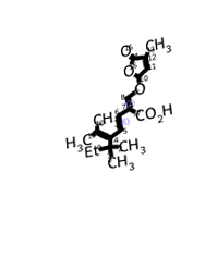 CCC(C)(C)C(/C=C/C(=C/OC1C=C(C)C(=O)O1)C(=O)O)=C(C)C